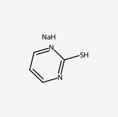 Sc1ncccn1.[NaH]